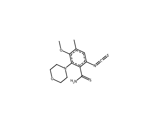 COc1c(C)cc(N=C=S)c(C(N)=S)c1N1CCOCC1